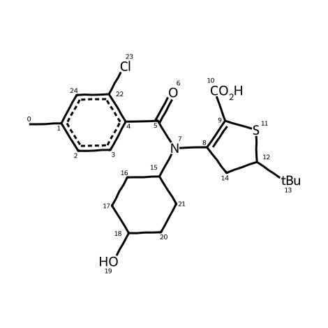 Cc1ccc(C(=O)N(C2=C(C(=O)O)SC(C(C)(C)C)C2)C2CCC(O)CC2)c(Cl)c1